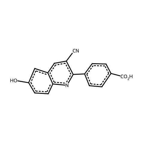 N#Cc1cc2cc(O)ccc2nc1-c1ccc(C(=O)O)cc1